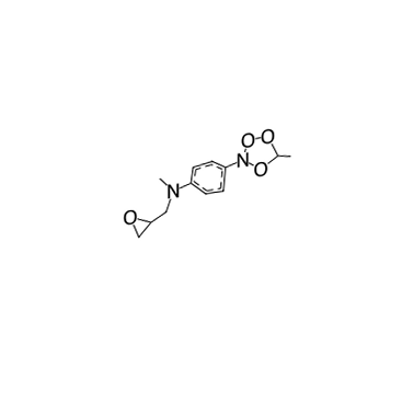 CC1OON(c2ccc(N(C)CC3CO3)cc2)O1